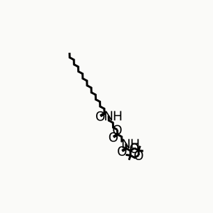 CCCCCCCCCCCCCCCCCC(=O)NCCCOC(=O)CCNC(=O)C1OC(C)(C)OCC1(C)C